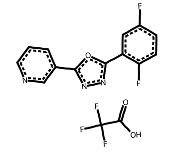 Fc1ccc(F)c(-c2nnc(-c3cccnc3)o2)c1.O=C(O)C(F)(F)F